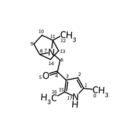 Cc1cc(C(=O)CN2C3CCC2(C)CC3)c(C)[nH]1